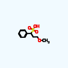 COCCC(c1ccccc1)S(=O)(=O)O